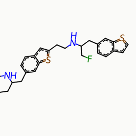 CNC(CCF)Cc1ccc2cc(CCNC(CF)Cc3ccc4ccsc4c3)sc2c1